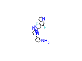 Nc1cccc(-c2ccc3nnc(Cc4c(F)cc5ncccc5c4F)n3n2)c1